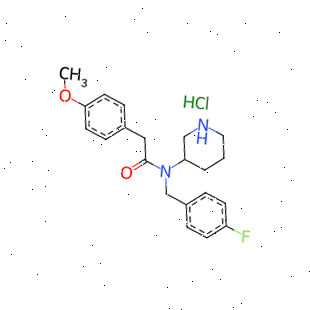 COc1ccc(CC(=O)N(Cc2ccc(F)cc2)C2CCCNC2)cc1.Cl